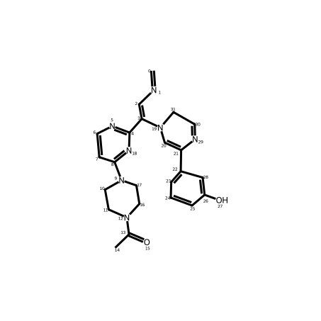 C=N/C=C(/c1nccc(N2CCN(C(C)=O)CC2)n1)N1C=C(c2cccc(O)c2)N=CC1